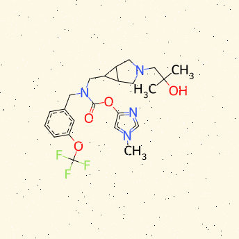 Cn1cnc(OC(=O)N(Cc2cccc(OC(F)(F)F)c2)CC2C3CN(CC(C)(C)O)CC32)c1